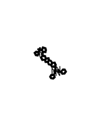 CC1(C)c2ccccc2N(c2ccc3cc4c(cc3c2)Cc2ccc(-c3nc(-c5ccccc5)nc(-c5ccccc5)n3)cc2C4)c2ccccc21